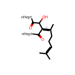 CCCCCCCC(=O)/C(=C(/C)CCC=C(C)C)C(O)C(=O)CCCCCCC